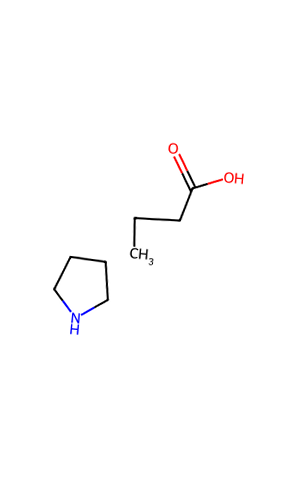 C1CCNC1.CCCC(=O)O